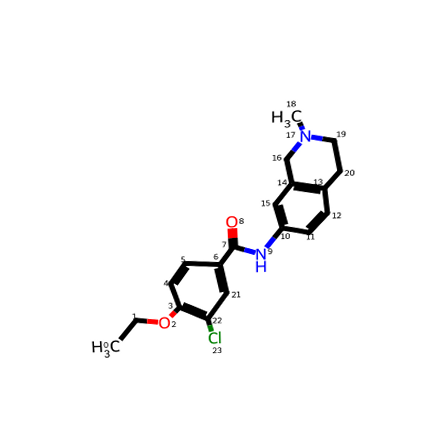 CCOc1ccc(C(=O)Nc2ccc3c(c2)CN(C)CC3)cc1Cl